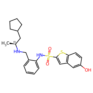 C[C@@H](CC1CCCC1)NCc1ccccc1NS(=O)(=O)c1cc2cc(O)ccc2s1